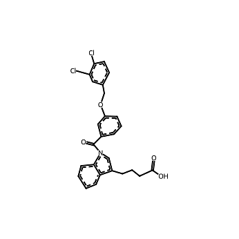 O=C(O)CCCc1cn(C(=O)c2cccc(OCc3ccc(Cl)c(Cl)c3)c2)c2ccccc12